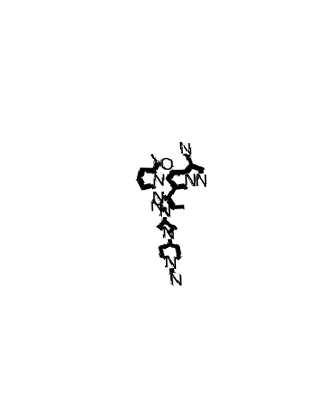 Cc1c(-c2cc(O[C@H](C)c3ccccn3)c3c(C#N)cnn3c2)nnn1C1CN(C2CCN(C#N)CC2)C1